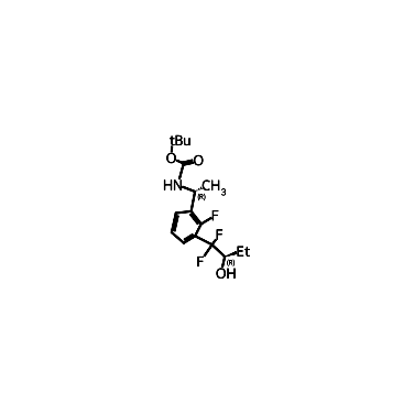 CC[C@@H](O)C(F)(F)c1cccc([C@@H](C)NC(=O)OC(C)(C)C)c1F